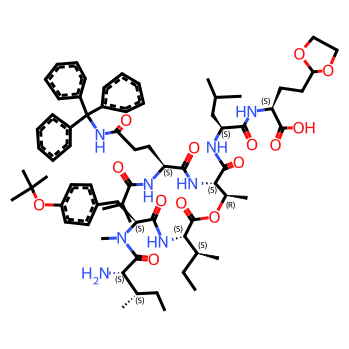 CC[C@H](C)[C@H](N)C(=O)N(C)[C@@H](Cc1ccc(OC(C)(C)C)cc1)C(=O)N[C@H](C(=O)O[C@H](C)[C@H](NC(=O)[C@H](CCC(=O)NC(c1ccccc1)(c1ccccc1)c1ccccc1)NC(=O)C(C)C)C(=O)N[C@@H](CC(C)C)C(=O)N[C@@H](CCC1OCCO1)C(=O)O)[C@@H](C)CC